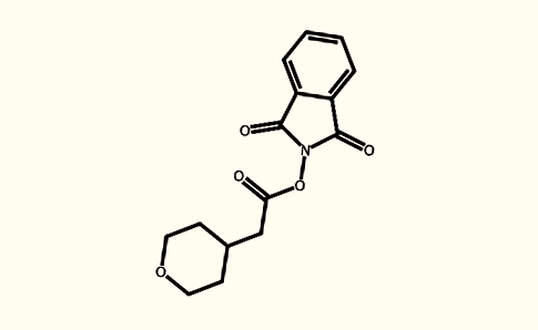 O=C(CC1CCOCC1)ON1C(=O)c2ccccc2C1=O